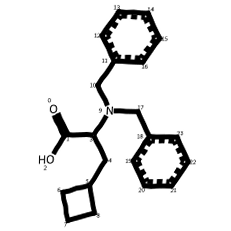 O=C(O)C(CC1CCC1)N(Cc1ccccc1)Cc1ccccc1